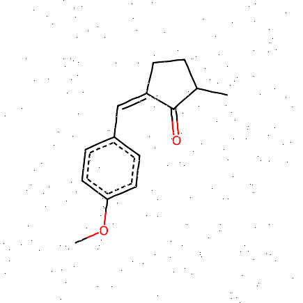 COc1ccc(C=C2CCC(C)C2=O)cc1